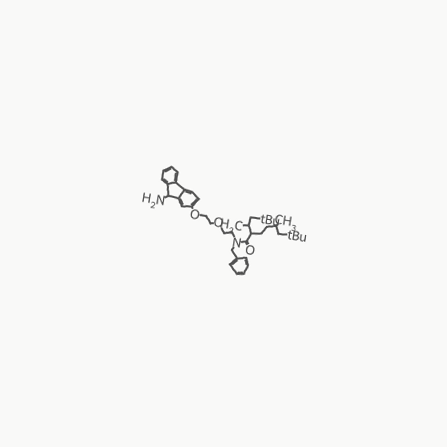 CC(CCC(C(=O)N(CCOCCOc1ccc2c(c1)C(N)c1ccccc1-2)Cc1ccccc1)C(C)CC(C)(C)C)CC(C)(C)C